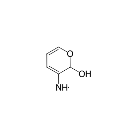 [NH]C1=CC=COC1O